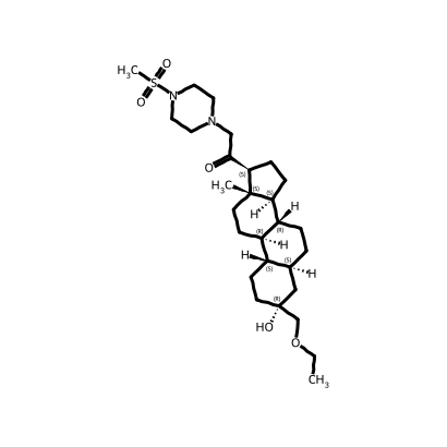 CCOC[C@@]1(O)CC[C@H]2[C@@H](CC[C@@H]3[C@@H]2CC[C@]2(C)[C@@H](C(=O)CN4CCN(S(C)(=O)=O)CC4)CC[C@@H]32)C1